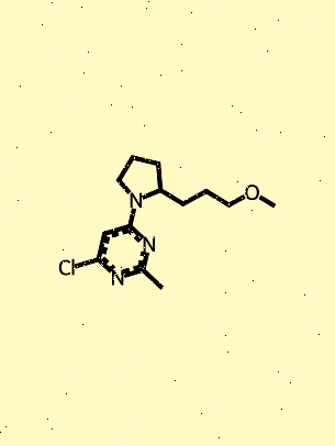 COCCCC1CCCN1c1cc(Cl)nc(C)n1